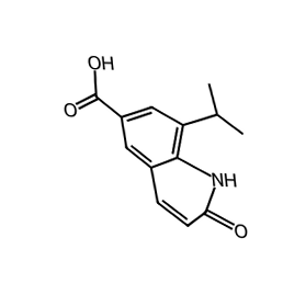 CC(C)c1cc(C(=O)O)cc2ccc(=O)[nH]c12